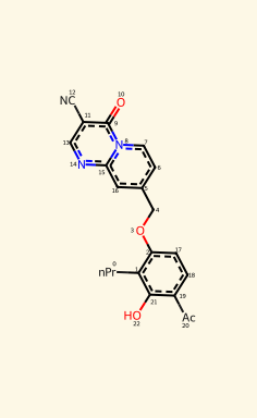 CCCc1c(OCc2ccn3c(=O)c(C#N)cnc3c2)ccc(C(C)=O)c1O